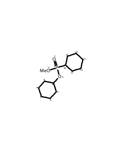 COP(=O)(OC1CCCCC1)C1CCCCC1